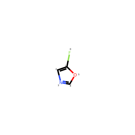 Fc1cn[c]o1